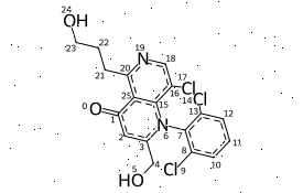 O=c1cc(CO)n(-c2c(Cl)cccc2Cl)c2c(Cl)cnc(CCCO)c12